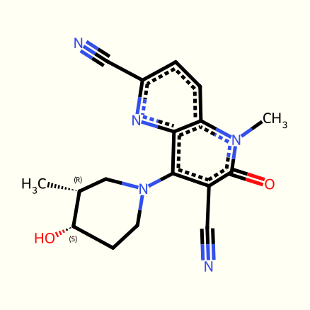 C[C@@H]1CN(c2c(C#N)c(=O)n(C)c3ccc(C#N)nc23)CC[C@@H]1O